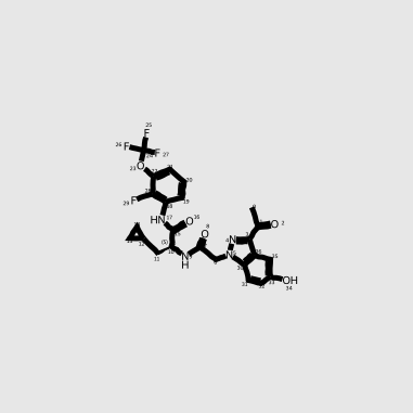 CC(=O)c1nn(CC(=O)N[C@@H](CC2CC2)C(=O)Nc2cccc(OC(F)(F)F)c2F)c2ccc(O)cc12